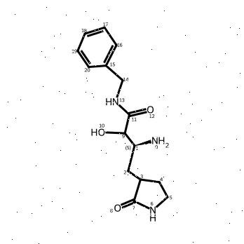 N[C@@H](CC1CCNC1=O)C(O)C(=O)NCc1ccccc1